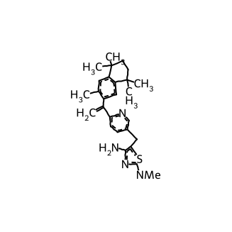 C=C(c1ccc(Cc2sc(NC)nc2N)cn1)c1cc2c(cc1C)C(C)(C)CCC2(C)C